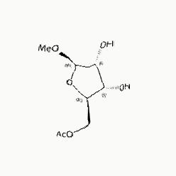 CO[C@@H]1O[C@H](COC(C)=O)[C@@H](O)[C@H]1O